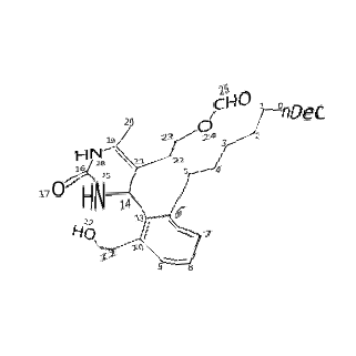 CCCCCCCCCCCCCCCc1cccc(CO)c1C1NC(=O)NC(C)=C1CCOC=O